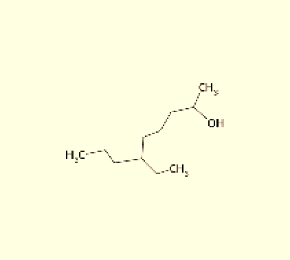 CCCC(CC)CCCC(C)O